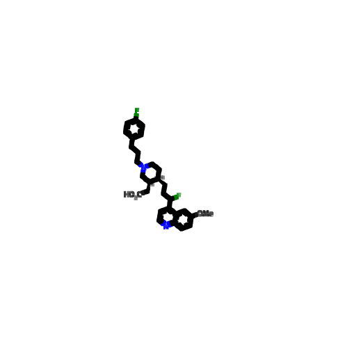 COc1ccc2nccc(C(F)CC[C@@H]3CCN(CCCc4ccc(F)cc4)C[C@@H]3CC(=O)O)c2c1